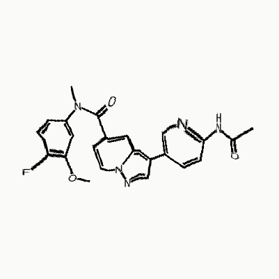 COc1cc(N(C)C(=O)c2ccn3ncc(-c4ccc(NC(C)=O)nc4)c3c2)ccc1F